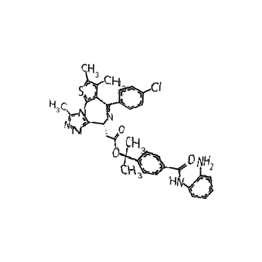 Cc1sc2c(c1C)C(c1ccc(Cl)cc1)=N[C@H](CC(=O)OC(C)(C)c1ccc(C(=O)Nc3ccccc3N)cc1)c1nnc(C)n1-2